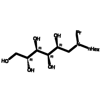 CCCCCCN(C[C@H](O)[C@@H](O)[C@H](O)[C@H](O)CO)C(C)C